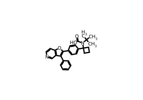 CC(C)(C)N(C(=O)O)C1(c2ccc(-c3oc4ccncc4c3-c3ccccc3)cc2)CCC1